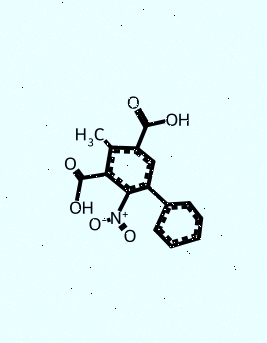 Cc1c(C(=O)O)cc(-c2ccccc2)c([N+](=O)[O-])c1C(=O)O